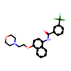 O=C(Nc1ccc(OCCN2CCOCC2)c2ccccc12)c1cccc(C(F)(F)F)c1